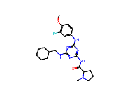 COc1ccc(Nc2nc(NCC3CCCCC3)nc(NC(=O)C3CCCN3C)n2)cc1F